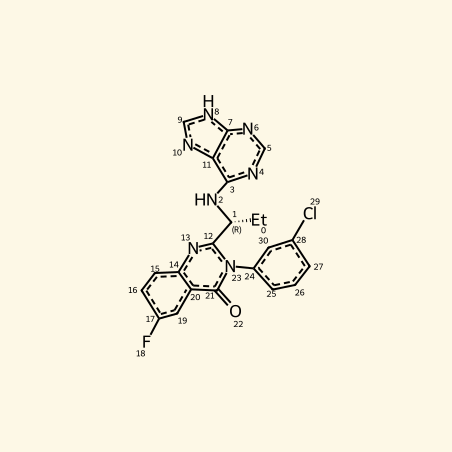 CC[C@@H](Nc1ncnc2[nH]cnc12)c1nc2ccc(F)cc2c(=O)n1-c1cccc(Cl)c1